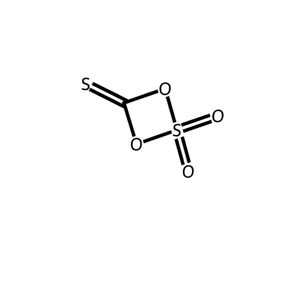 O=S1(=O)OC(=S)O1